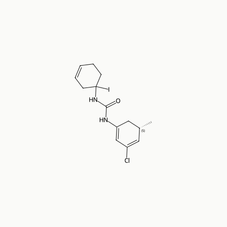 C[C@@H]1C=C(Cl)C=C(NC(=O)NC2(I)CC=CCC2)C1